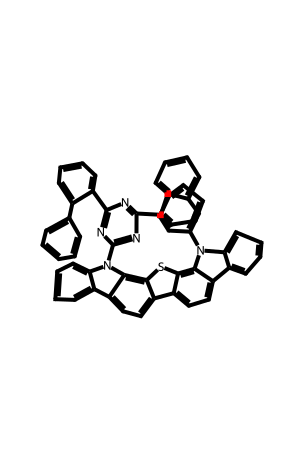 c1ccc(-c2nc(-c3ccccc3-c3ccccc3)nc(-n3c4ccccc4c4ccc5c6ccc7c8ccccc8n(-c8ccc9ccccc9c8)c7c6sc5c43)n2)cc1